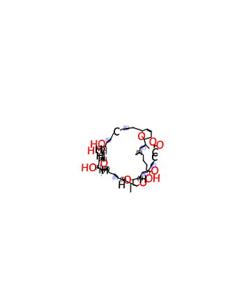 C/C(=C\[C@H](C)CCCCC(=O)O)C1OC2C=CC1OC(=O)CC/C=C\C=C\[C@H]1OC3CC1O[C@@H](/C=C/C[C@H]1O[C@H](C[C@H](O)[C@H]1C)[C@@H](O)[C@@H](O)/C=C/CC/C=C/C2)C3C